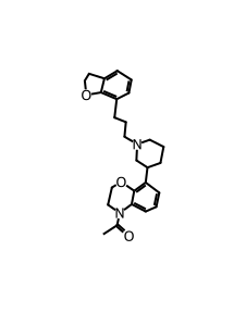 CC(=O)N1CCOc2c(C3CCCN(CCCc4cccc5c4OCC5)C3)cccc21